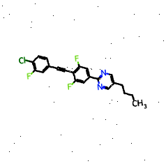 CCCCc1cnc(-c2cc(F)c(C#Cc3ccc(Cl)c(F)c3)c(F)c2)nc1